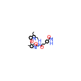 CCc1cc(CC)c2cccc(OCc3c(C)ccc(N(C)C(=O)CNC(=O)C=Cc4ccc(C(=O)NC)cc4)c3C)c2n1